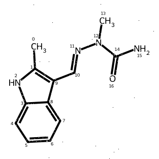 Cc1[nH]c2ccccc2c1C=NN(C)C(N)=O